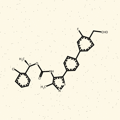 Cc1nsc(-c2ccc(-c3ccc(CC=O)c(F)c3)cc2)c1NC(=O)O[C@H](C)c1ccccc1Cl